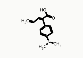 C=C/C=C(/C(=O)O)c1ccc(N(C)C)cc1